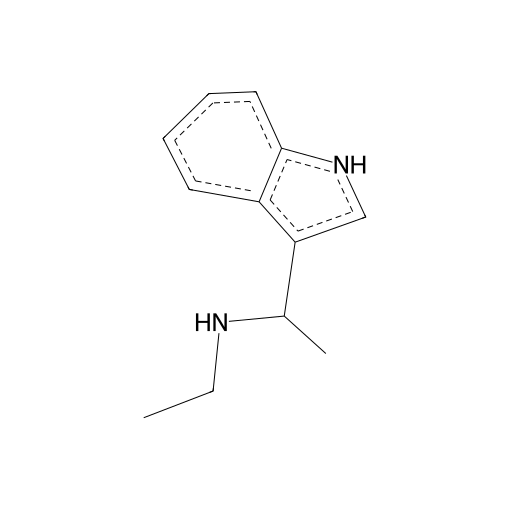 CCNC(C)c1c[nH]c2ccccc12